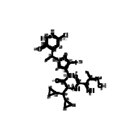 C/C(=N/O)C(=N)C(=O)N[C@H](C(=O)Nc1cn(C(C)c2cc(Cl)n[nH]c2=O)nc1F)C(C1CC1)C1CC1